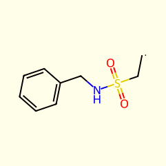 [CH2]CS(=O)(=O)NCc1ccccc1